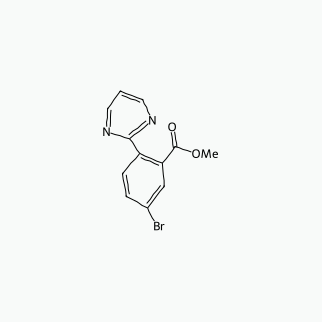 COC(=O)c1cc(Br)ccc1-c1ncccn1